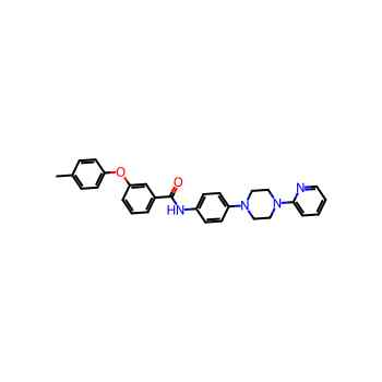 Cc1ccc(Oc2cccc(C(=O)Nc3ccc(N4CCN(c5ccccn5)CC4)cc3)c2)cc1